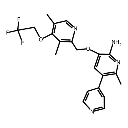 Cc1cnc(COc2cc(-c3ccncc3)c(C)nc2N)c(C)c1OCC(F)(F)F